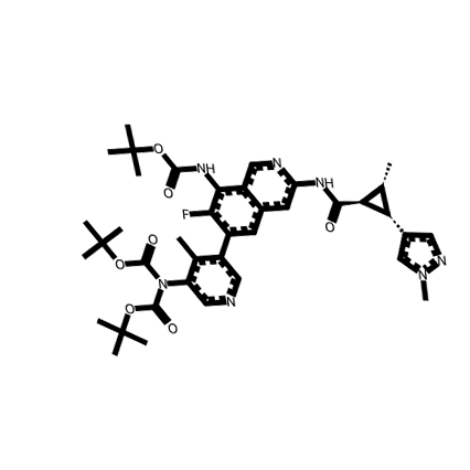 Cc1c(-c2cc3cc(NC(=O)[C@H]4[C@H](C)[C@@H]4c4cnn(C)c4)ncc3c(NC(=O)OC(C)(C)C)c2F)cncc1N(C(=O)OC(C)(C)C)C(=O)OC(C)(C)C